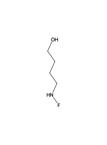 OCCCCNF